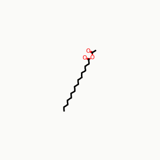 CCCCCCCCCCCCCCCC(=O)OC(C)=O